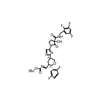 CC(C)(C)OC(=O)/N=C/C1C[C@@H](n2ncc(N3CCC(O)(C(=O)NCc4cc(F)cc(F)c4F)C3=O)n2)CO[C@@H]1c1cc(F)ccc1F